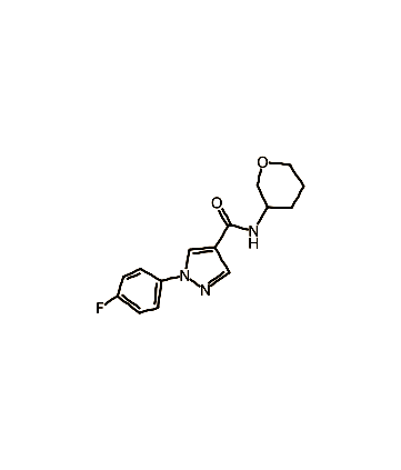 O=C(NC1CCCOC1)c1cnn(-c2ccc(F)cc2)c1